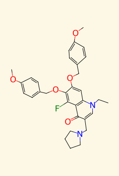 CCn1cc(CN2CCCC2)c(=O)c2c(F)c(OCc3ccc(OC)cc3)c(OCc3ccc(OC)cc3)cc21